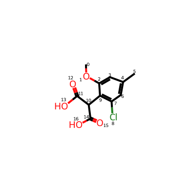 COc1cc(C)cc(Cl)c1C(C(=O)O)C(=O)O